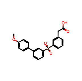 COc1ccc(-c2cccc(S(=O)(=O)c3cccc(CC(=O)O)c3)c2)cc1